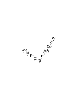 [Co].[Cr].[Fe].[Mn].[Mo].[Ni].[Ti].[V].[W].[Zr]